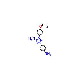 Nc1ccc(-c2nc(N)n(-c3ccc(OC(F)(F)F)cc3)n2)cc1